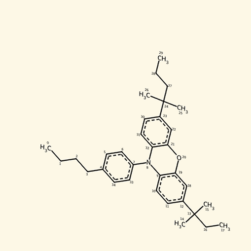 CCCCc1ccc(N2c3ccc(C(C)(C)CC)cc3Oc3cc(C(C)(C)CCC)ccc32)cc1